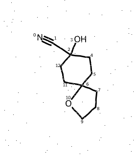 N#CC1(O)CCC2(CCCO2)CC1